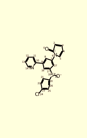 O=c1ccccn1-c1cc(-c2ccccn2)cc([S+]([O-])c2ccc(Cl)cc2)c1